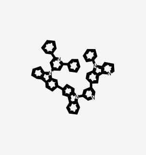 c1ccc(-c2cc(-n3c4ccccc4c4ccc(-c5ccc6c(c5)c5ccccc5n6-c5cncc(-c6ccc7c(c6)c6ncccc6n7-c6ccccc6)c5)cc43)cc(-c3ccccc3)n2)cc1